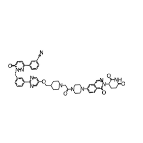 N#Cc1cccc(-c2ccc(=O)n(Cc3cccc(-c4ncc(OCC5CCN(CC(=O)N6CCN(c7ccc8c(=O)n(C9CCC(=O)NC9=O)ncc8c7)CC6)CC5)cn4)c3)n2)c1